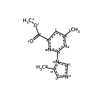 COC(=O)c1cc(C)nc(-n2cncc2C)n1